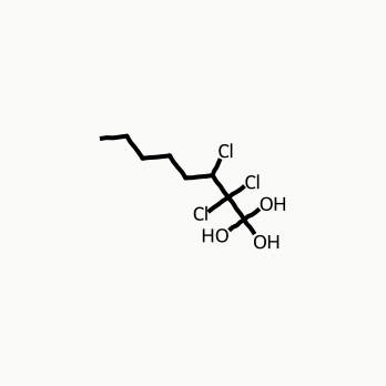 CCCCCC(Cl)C(Cl)(Cl)C(O)(O)O